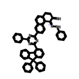 N=C1C=Cc2ccc3cc(-c4nc(-c5ccccc5)nc(-c5cccc6c5-c5ccccc5C6(c5ccccc5)c5ccccc5)n4)ccc3c2/C1=N/Nc1ccccc1